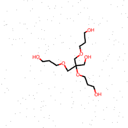 OCCCOCC(CO)(COCCCO)OCCCO